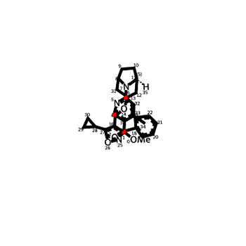 COC(=O)c1cnc(N2C3CC[C@H]2CC(OCc2c(-c4ccccc4C)noc2C2CC2)C3)cc1C